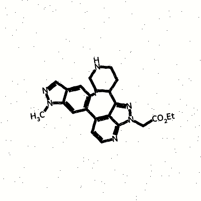 CCOC(=O)Cn1nc(C2CCNCC2)c2c(-c3cc4c(cnn4C)cc3F)ccnc21